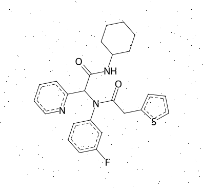 O=C(NC1CCCCC1)C(c1ccccn1)N(C(=O)Cc1cccs1)c1cccc(F)c1